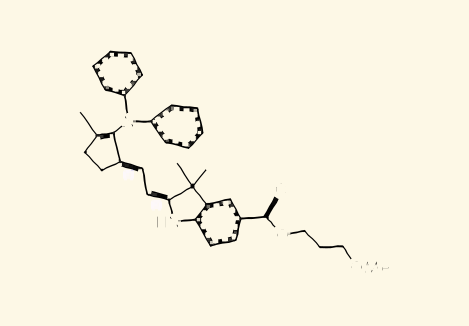 COCCCOC(=O)c1ccc2c(c1)C(C)(C)/C(=C\C=C1/CCC(C)=C1N(c1ccccc1)c1ccccc1)N2